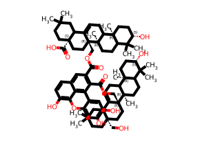 CC1(C)CC[C@]2(CO)CC[C@]3(COC(=O)c4c(C(=O)OC[C@@]56CC[C@@]7(C(=O)O)CCC(C)(C)CC7C5=CCC5[C@@]7(C)CC[C@H](O)C(C)(C)C7CC[C@]56C)cc5ccc(O)c6c5c4-c4cc(O)c(O)cc4O6)C(=CCC4[C@@]5(C)CC[C@H](O)C(C)(C)C5CC[C@]43C)C2C1